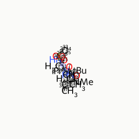 CN[C@H](C(=O)N[C@H](C(=O)N(C)[C@H](/C=C(\C)C(=O)NS(=O)(=O)Cc1ccccc1)C(C)C)C(C)(C)C)C(C)(C)c1cccc(C)c1